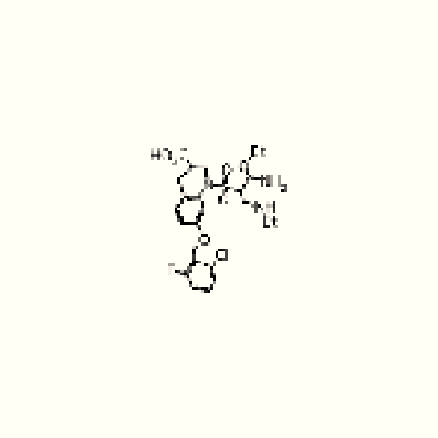 CCNCC(C(N)OCC)S(=O)(=O)N1CC(C(=O)O)Cc2ccc(OCc3c(F)cccc3Cl)cc21